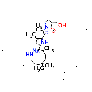 C/C(=C\c1[nH]c(/C2=N/NCCCC(C)(C)CCC2C)cc1C)N1CCC(CO)C1=O